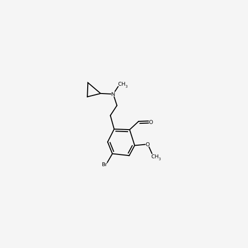 COc1cc(Br)cc(CCN(C)C2CC2)c1C=O